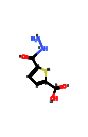 NNC(=O)c1ccc(C(=O)O)s1